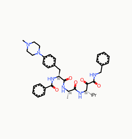 CC(C)[C@H](NC(=O)[C@H](C)NC(=O)[C@H](Cc1ccc(N2CCN(C)CC2)cc1)NC(=O)c1ccccc1)C(=O)C(=O)NCc1ccccc1